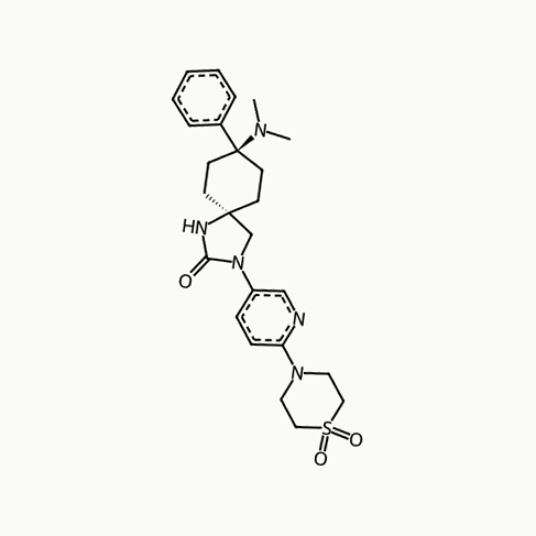 CN(C)[C@]1(c2ccccc2)CC[C@]2(CC1)CN(c1ccc(N3CCS(=O)(=O)CC3)nc1)C(=O)N2